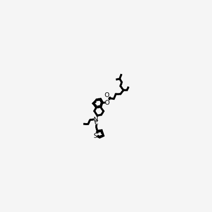 CCCN(CCc1cccs1)C1CCc2c(cccc2OC(=O)CCCC(CC)CCC(C)C)C1